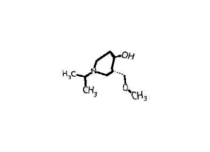 COC[C@@H]1CN(C(C)C)CC[C@H]1O